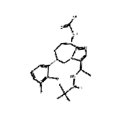 CC(N[S+]([O-])C(C)(C)C)c1cnc2n1C[C@H](c1cccc(F)c1F)CC[C@H]2NC(=O)O